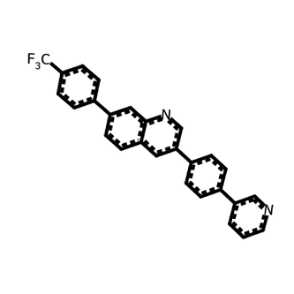 FC(F)(F)c1ccc(-c2ccc3cc(-c4ccc(-c5cccnc5)cc4)cnc3c2)cc1